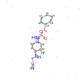 N#CCNc1ccc(NC(=O)OCc2ccccc2)cc1F